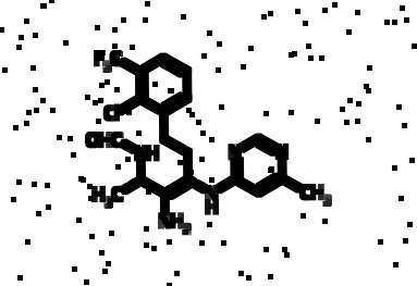 Cc1cc(N/C(CCc2cccc(C(F)(F)F)c2Cl)=C(\N)C(C)NC=O)ncn1